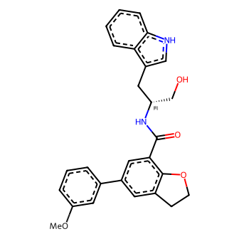 COc1cccc(-c2cc3c(c(C(=O)N[C@@H](CO)Cc4c[nH]c5ccccc45)c2)OCC3)c1